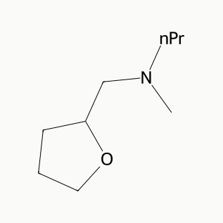 CCCN(C)CC1CCCO1